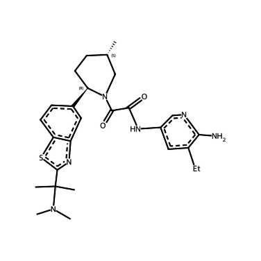 CCc1cc(NC(=O)C(=O)N2C[C@@H](C)CC[C@@H]2c2ccc3sc(C(C)(C)N(C)C)nc3c2)cnc1N